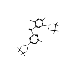 CC1(C)OB(c2cc(C(=O)O)cc(C(=O)c3cc(B4OC(C)(C)C(C)(C)O4)c(F)cc3F)c2)OC1(C)C